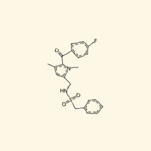 Cc1cc(CNS(=O)(=O)Cc2ccccc2)n(C)c1C(=O)c1ccc(F)cc1